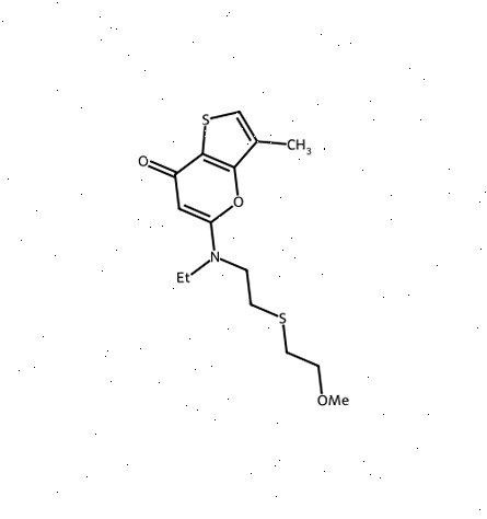 CCN(CCSCCOC)c1cc(=O)c2scc(C)c2o1